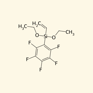 C=C[Si](OCC)(OCC)c1c(F)c(F)c(F)c(F)c1F